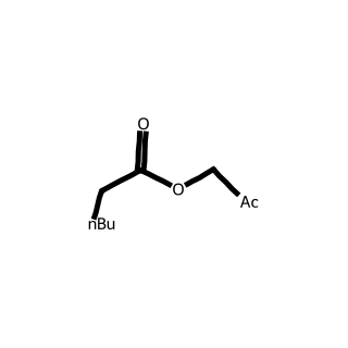 CCCCCC(=O)OCC(C)=O